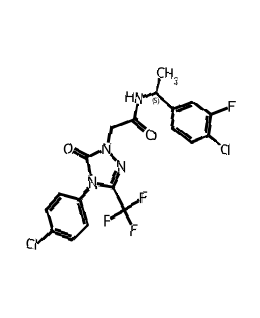 C[C@H](NC(=O)Cn1nc(C(F)(F)F)n(-c2ccc(Cl)cc2)c1=O)c1ccc(Cl)c(F)c1